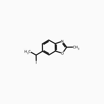 Cc1nc2ccc(C(C)I)cc2o1